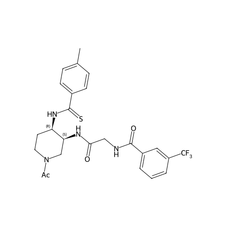 CC(=O)N1CC[C@@H](NC(=S)c2ccc(C)cc2)[C@@H](NC(=O)CNC(=O)c2cccc(C(F)(F)F)c2)C1